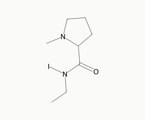 CCN(I)C(=O)C1CCCN1C